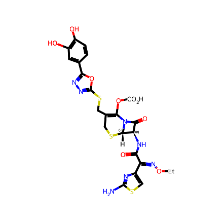 CCON=C(C(=O)N[C@@H]1C(=O)N2C(OC(=O)O)=C(CSc3nnc(-c4ccc(O)c(O)c4)o3)CS[C@@H]12)c1csc(N)n1